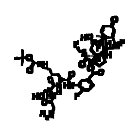 CC(C)(C)OC(=O)NCCCC[C@H](NC(=O)[C@H](CO)NC(=O)CN)C(=O)Nc1cc(C(=O)O[C@]2(C(=O)SCF)CC[C@H]3[C@@H]4C[C@H](F)C5=CC(=O)C=C[C@]5(C)[C@@]4(F)[C@@H](O)C[C@@]32C)ccc1F